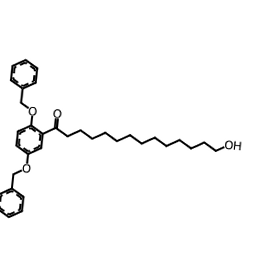 O=C(CCCCCCCCCCCCCO)c1cc(OCc2ccccc2)ccc1OCc1ccccc1